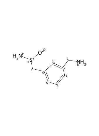 NCc1cccc(C[S+](N)[O-])c1